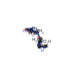 Cc1c(OCCCN2C[C@@H](C)N(CC(=O)Nc3cccc4c(C5CCC(=O)NC5=O)nn(C)c34)[C@@H](C)C2)cccc1-c1ccc(N2CCc3cccc(C(=O)Nc4nc5ccccc5s4)c3C2)nc1C(=O)O